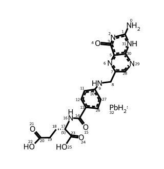 Nc1nc(=O)c2nc(CNc3ccc(C(=O)N[C@@H](CCC(=O)O)C(=O)O)cc3)cnc2[nH]1.[PbH2]